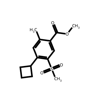 COC(=O)c1cc(S(C)(=O)=O)c(C2CCC2)cc1C